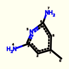 Cc1cc(N)nc(N)c1